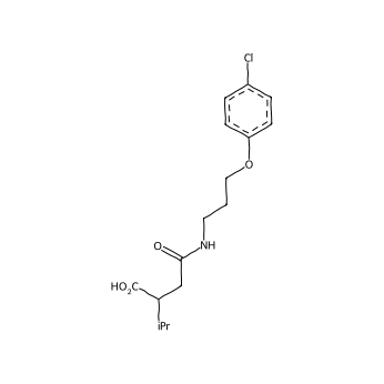 CC(C)C(CC(=O)NCCCOc1ccc(Cl)cc1)C(=O)O